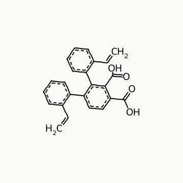 C=Cc1ccccc1-c1ccc(C(=O)O)c(C(=O)O)c1-c1ccccc1C=C